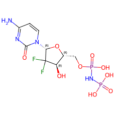 Nc1ccn([C@@H]2O[C@H](COP(=O)(O)NP(=O)(O)O)[C@@H](O)C2(F)F)c(=O)n1